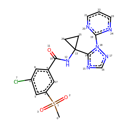 CS(=O)(=O)c1cc(Cl)cc(C(=O)NC2(c3ncnn3-c3ncccn3)CC2)c1